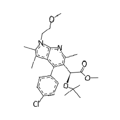 COCCn1c(C)c(C)c2c(-c3ccc(Cl)cc3)c([C@H](OC(C)(C)C)C(=O)OC)c(C)nc21